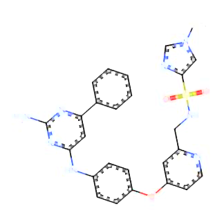 Cn1cnc(S(=O)(=O)NCc2cc(Oc3ccc(Nc4cc(-c5ccccc5)nc(N)n4)cc3)ccn2)c1